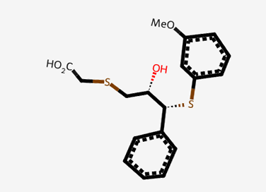 COc1cccc(S[C@H](c2ccccc2)[C@@H](O)CSCC(=O)O)c1